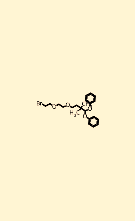 CC(C)(CCOCCOCCBr)C(Oc1ccccc1)Oc1ccccc1